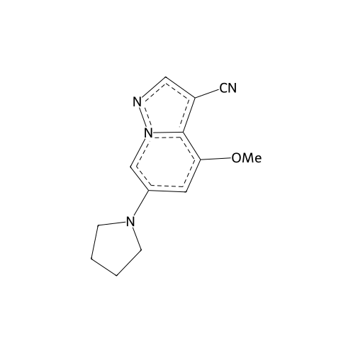 COc1cc(N2CCCC2)cn2ncc(C#N)c12